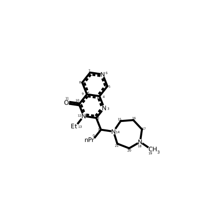 CCCC(c1nc2cnccc2c(=O)n1CC)N1CCCN(C)CC1